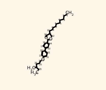 C=CCCCCCCCCCC1COC(c2ccc(-c3ccc(OCCCC(C)CC)cc3)cc2)OC1